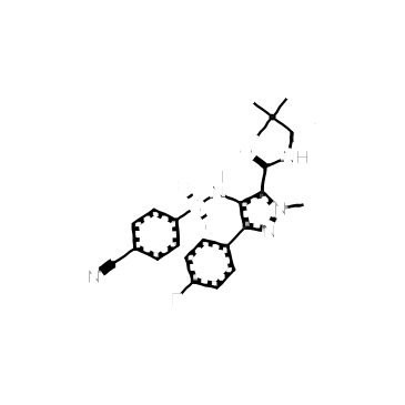 C[C@H](NC(=O)c1c(NS(=O)(=O)c2ccc(C#N)cc2)c(-c2ccc(F)cc2)nn1C)C(C)(C)C